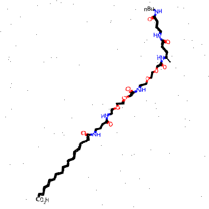 CCCCNC(=O)CCCNC(=O)CC[C@@H](C)NC(=O)COCCOCCNC(=O)COCCOCCNC(=O)CCCNC(=O)CCCCCCCCCCCCCCCCC(=O)O